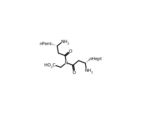 CCCCCCC[C@H](N)CC(=O)N(CC(=O)O)C(=O)C[C@@H](N)CCCCC